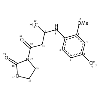 COc1cc(C(F)(F)F)ccc1NC(C)CC(=O)N1CCOC1=O